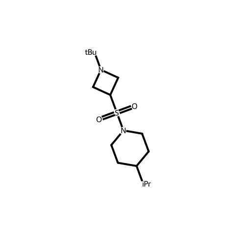 CC(C)C1CCN(S(=O)(=O)C2CN(C(C)(C)C)C2)CC1